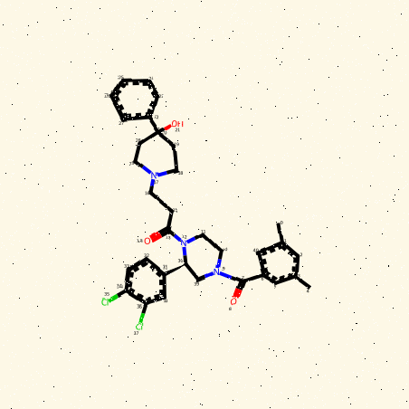 Cc1cc(C)cc(C(=O)N2CCN(C(=O)CCN3CCC(O)(c4ccccc4)CC3)[C@H](c3ccc(Cl)c(Cl)c3)C2)c1